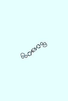 c1cc(N2CCN(c3ccc(OC4CCCCO4)cc3)CC2)ccc1OC1CCCCO1